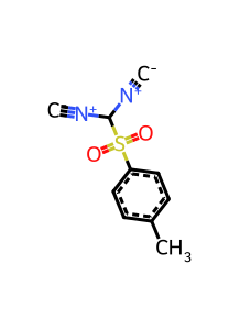 [C-]#[N+]C([N+]#[C-])S(=O)(=O)c1ccc(C)cc1